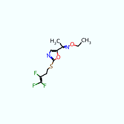 CCO/N=C(\C)c1cnc(SCCC(F)=C(F)F)o1